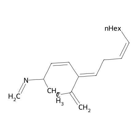 C=NC(C)/C=C\C(=C/C/C=C\CCCCCC)C(=C)C